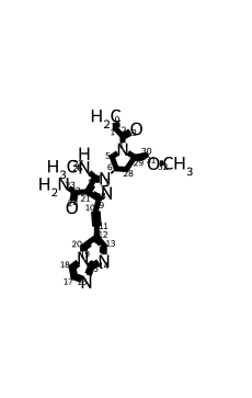 C=CC(=O)N1C[C@@H](n2nc(C#Cc3cnc4nccn4c3)c(C(N)=O)c2NC)C/C1=C\OC